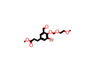 COCCOCOc1c(Br)cc(CCC(=O)OC)cc1C=O